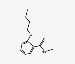 [CH2]NC(=O)c1ccccc1OCCCC